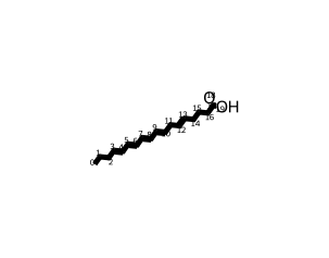 CCCC=CC=CC=CC=CCC=CCCCC(=O)O